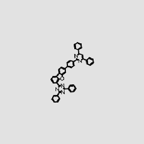 c1ccc(-c2cc(-c3ccccc3)nc(-c3ccc(-c4ccc5c(c4)oc4c(-c6nc(-c7ccccc7)nc(-c7ccccc7)n6)cccc45)cc3)n2)cc1